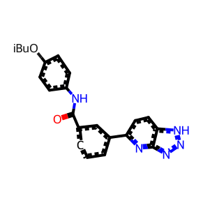 CC(C)COc1ccc(NC(=O)c2cccc(-c3ccc4[nH]nnc4n3)c2)cc1